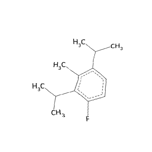 Cc1c(C(C)C)ccc(F)c1C(C)C